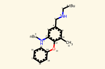 CCCCNc1cc(CNCC(C)(C)C)cc(C)c1Oc1ccccc1